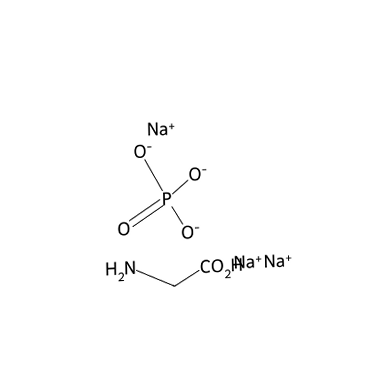 NCC(=O)O.O=P([O-])([O-])[O-].[Na+].[Na+].[Na+]